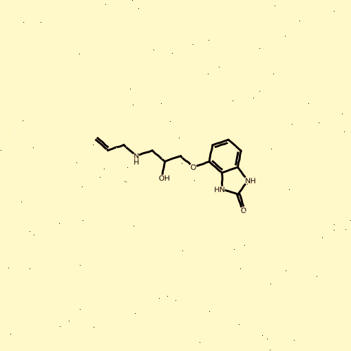 C=CCNCC(O)COc1cccc2[nH]c(=O)[nH]c12